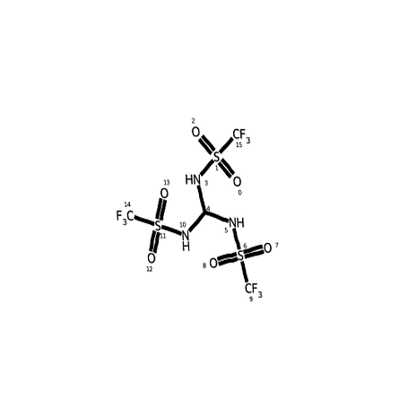 O=S(=O)(NC(NS(=O)(=O)C(F)(F)F)NS(=O)(=O)C(F)(F)F)C(F)(F)F